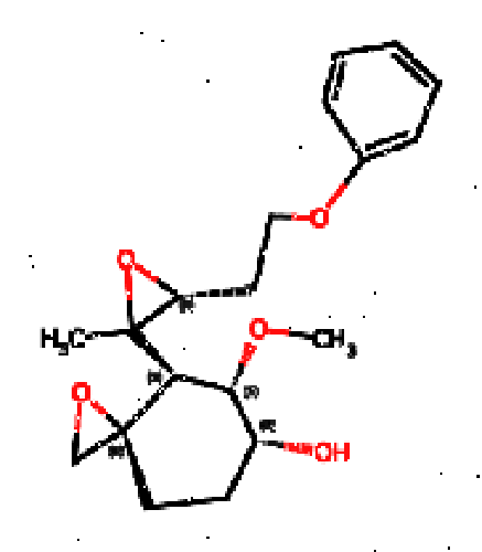 CO[C@@H]1[C@H](O)CC[C@]2(CO2)[C@H]1C1(C)O[C@@H]1CCOc1ccccc1